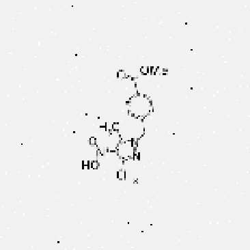 COC(=O)c1ccc(Cn2nc(C)c([N+](=O)O)c2C)cc1